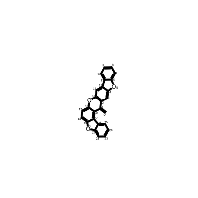 C=C1c2cc3oc4ccccc4c3cc2Oc2ccc3oc4ccccc4c3c21